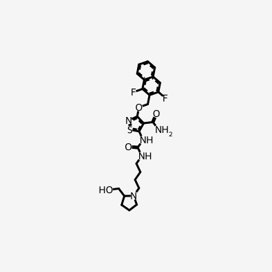 NC(=O)c1c(OCc2c(F)cc3ccccc3c2F)nsc1NC(=O)NCCCCN1CCCC1CO